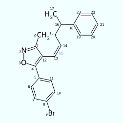 Cc1noc(-c2ccc(Br)cc2)c1/C=C\CC(C)c1ccccc1